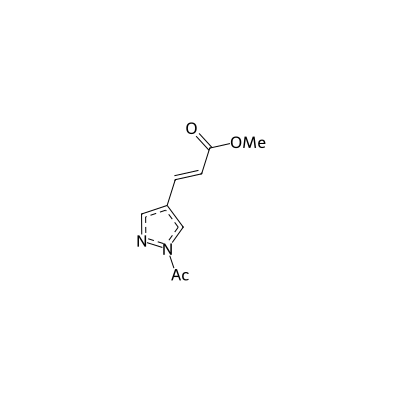 COC(=O)/C=C/c1cnn(C(C)=O)c1